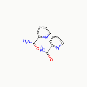 NC(=O)c1ccccn1.NC(=O)c1ccccn1